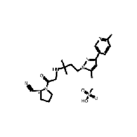 CS(=O)(=O)O.Cc1ccc(-c2cc(C)n(CCC(C)(C)NCC(=O)N3CCC[C@H]3C#N)n2)cn1